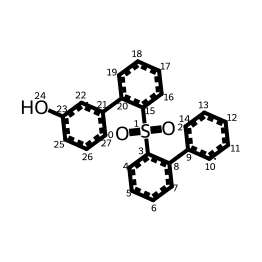 O=S(=O)(c1ccccc1-c1[c]cccc1)c1ccccc1-c1[c]c(O)ccc1